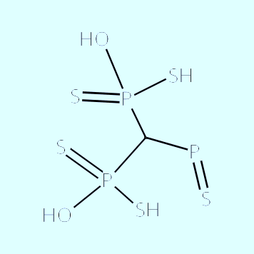 OP(=S)(S)C(P=S)P(O)(=S)S